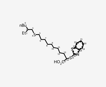 CCCCC(CC)CSCCCCCCCCCC(Sc1nc2ccccc2s1)C(=O)O